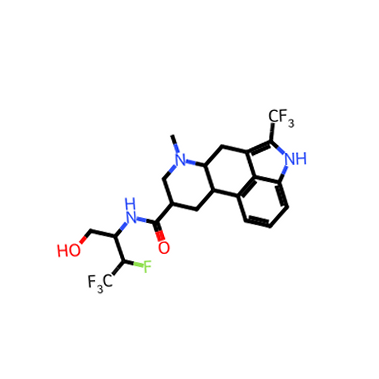 CN1CC(C(=O)NC(CO)C(F)C(F)(F)F)CC2c3cccc4[nH]c(C(F)(F)F)c(c34)CC21